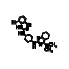 CCc1cccc(CC)c1NC(=S)NC1CCC(Nc2nc3c(c(N(C)C)n2)CCCC3)CC1